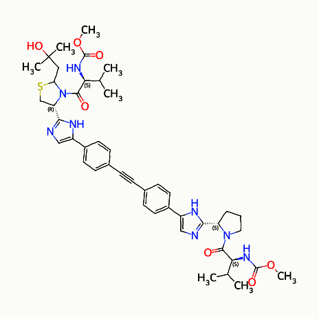 COC(=O)N[C@H](C(=O)N1CCC[C@H]1c1ncc(-c2ccc(C#Cc3ccc(-c4cnc([C@@H]5CSC(CC(C)(C)O)N5C(=O)[C@@H](NC(=O)OC)C(C)C)[nH]4)cc3)cc2)[nH]1)C(C)C